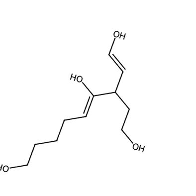 OC=CC(CCO)C(O)=CCCCCO